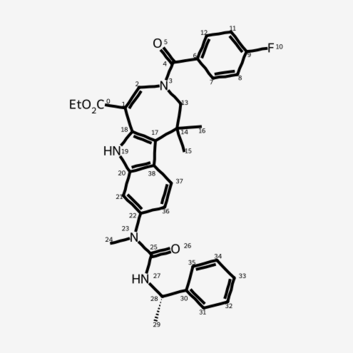 CCOC(=O)C1=CN(C(=O)c2ccc(F)cc2)CC(C)(C)c2c1[nH]c1cc(N(C)C(=O)N[C@@H](C)c3ccccc3)ccc21